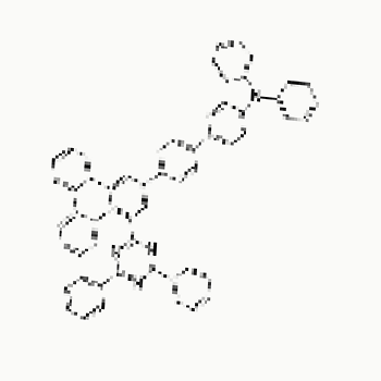 c1ccc(-c2nc(-c3ccccc3)nc(-c3cc(-c4ccc(-c5ccc6c(c5)c5ccccc5n6-c5ccccc5)cc4)cc4c5ccccc5c5ccccc5c34)n2)cc1